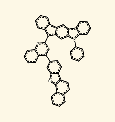 c1ccc(-n2c3ccccc3c3cc4c5ccccc5n(-c5nc(-c6ccc7c(c6)oc6c8ccccc8ccc76)c6ccccc6n5)c4cc32)cc1